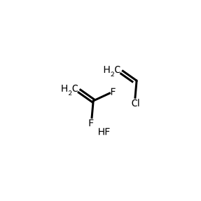 C=C(F)F.C=CCl.F